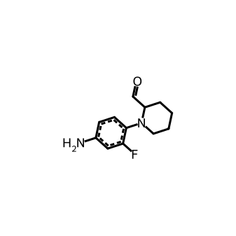 Nc1ccc(N2CCCCC2C=O)c(F)c1